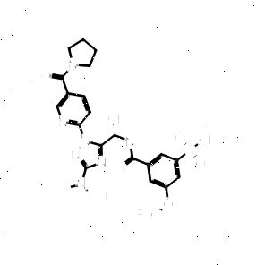 C[C@H](NC(=O)c1cc(OC(F)(F)F)cc(S(C)(=O)=O)c1)c1nc(N(C)C)nn1-c1ccc(C(=O)N2CCCC2)cn1